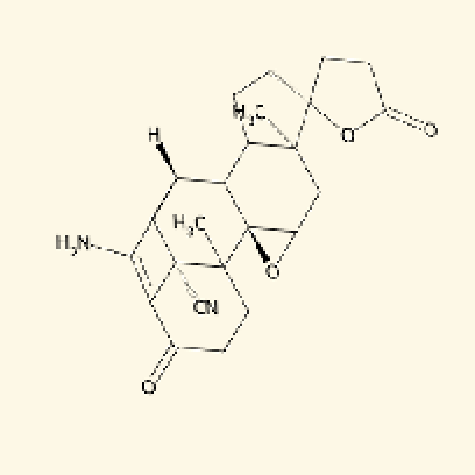 CC12CC3O[C@@]34C(C1CC[C@@]21CCC(=O)O1)[C@H]1C[C@]2(C#N)C(=C1N)C(=O)CCC42C